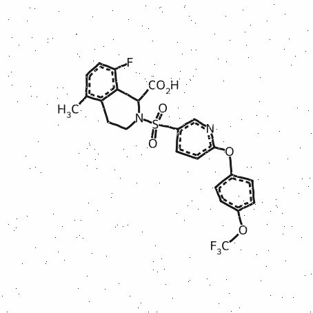 Cc1ccc(F)c2c1CCN(S(=O)(=O)c1ccc(Oc3ccc(OC(F)(F)F)cc3)nc1)C2C(=O)O